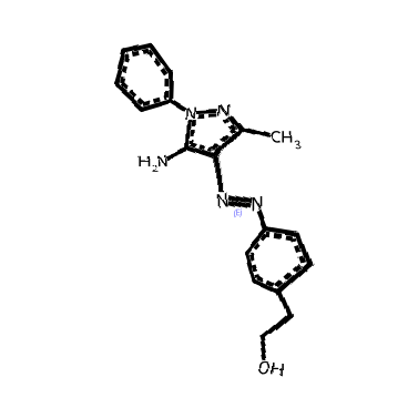 Cc1nn(-c2ccccc2)c(N)c1/N=N/c1ccc(CCO)cc1